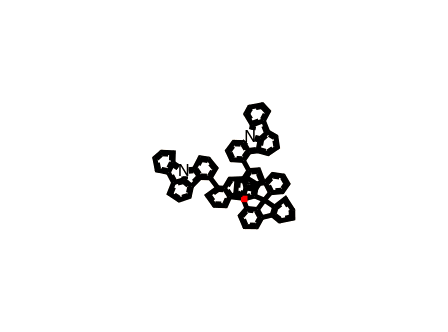 c1ccc2c(c1)-c1ccccc1C21c2ccccc2-c2cccc(-c3c4cccc(-c5cccc6c5c5cccc7c8ccccc8n6c75)c4cc4c(-c5cccc6c5c5cccc7c8ccccc8n6c75)cccc34)c21